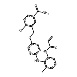 C=CC(=O)Nc1cccc(C)c1Nc1ncc(OCc2cc(C(N)=O)ccc2Cl)cn1